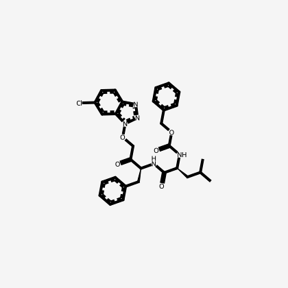 CC(C)C[C@H](NC(=O)OCc1ccccc1)C(=O)N[C@@H](Cc1ccccc1)C(=O)COn1nnc2ccc(Cl)cc21